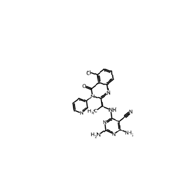 CC(Nc1nc(N)nc(N)c1C#N)c1nc2cccc(Cl)c2c(=O)n1-c1cccnc1